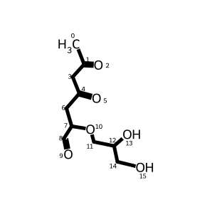 CC(=O)CC(=O)CC([C]=O)OCC(O)CO